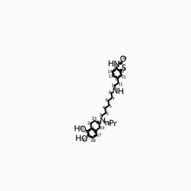 CCCN(CCCCCCCNCCc1ccc2[nH]c(=O)sc2c1)[C@H]1CCc2c(ccc(O)c2O)C1